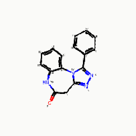 O=C1Cc2nnc(-c3ccccc3)n2-c2ccccc2N1